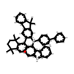 CC1(C)CCC(C)(C)c2c(-c3cc4c(cc3N(c3ccc(-c5ccccc5)cc3)c3cccc5oc6ccccc6c35)C(C)(C)c3ccccc3-4)cccc21